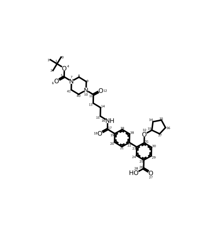 CC(C)(C)OC(=O)N1CCN(C(=O)CCCNC(=O)c2ccc(-c3cc(C(=O)O)ccc3OC3CCCC3)cc2)CC1